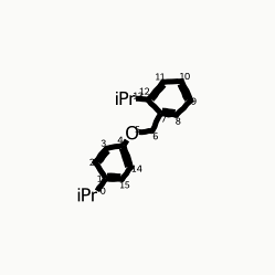 CC(C)c1ccc(OCc2ccccc2C(C)C)cc1